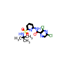 CC(C)(C)NS(=O)(=O)c1cccc(NC(=O)c2ncc(Cl)nc2Cl)n1